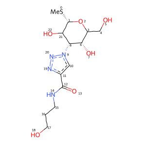 CS[C@@H]1OC(CO)[C@H](O)[C@H](n2cc(C(=O)NCCCO)nn2)C1O